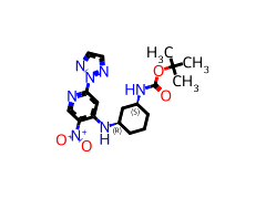 CC(C)(C)OC(=O)N[C@H]1CCC[C@@H](Nc2cc(-n3nccn3)ncc2[N+](=O)[O-])C1